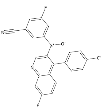 N#Cc1cc(F)cc([S+]([O-])c2cnc3cc(F)ccc3c2-c2ccc(Cl)cc2)c1